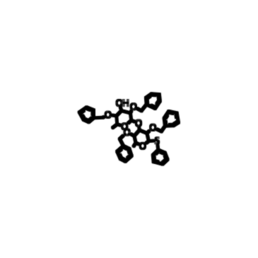 CC1OC(OC2C(OCc3ccccc3)C(C)OC(Sc3ccccc3)C2OCc2ccccc2)C(OCc2ccccc2)C(O)C1OCc1ccccc1